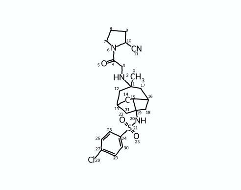 CC1(NCC(=O)N2CCCC2C#N)CC2CC3C(C1)CC3(NS(=O)(=O)c1ccc(Cl)cc1)C2